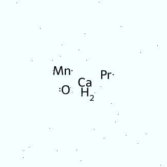 [CaH2].[Mn].[O].[Pr]